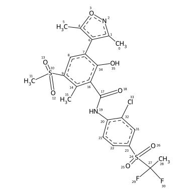 Cc1noc(C)c1-c1cc(S(C)(=O)=O)c(C)c(C(=O)Nc2ccc(S(=O)(=O)C(C)(F)F)cc2Cl)c1O